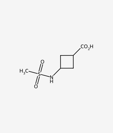 CS(=O)(=O)NC1CC(C(=O)O)C1